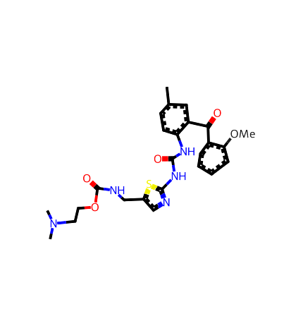 COc1ccccc1C(=O)c1cc(C)ccc1NC(=O)Nc1ncc(CNC(=O)OCCN(C)C)s1